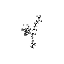 C=C(C)C(=O)OCCCOC(=O)CCC(CCN)(CCC(=O)OCCCOC(=O)C(=C)C)[Si](OCC)(OCC)OCC